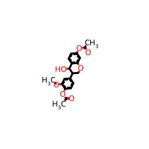 COc1cc(C2COc3cc(OC(C)=O)ccc3C2O)ccc1OC(C)=O